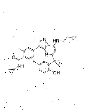 Cc1cc(-c2cnc3c(NCCC(F)(F)F)cc(C4(c5cc(F)ccc5O)CC4)nn23)ccc1C(=O)NC1CC1